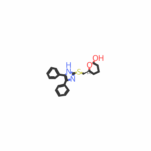 OC1CCC[C@@H](CSc2nc(-c3ccccc3)c(-c3ccccc3)[nH]2)O1